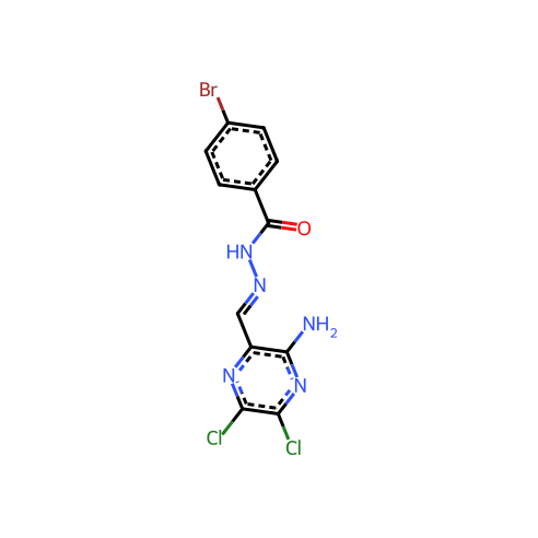 Nc1nc(Cl)c(Cl)nc1C=NNC(=O)c1ccc(Br)cc1